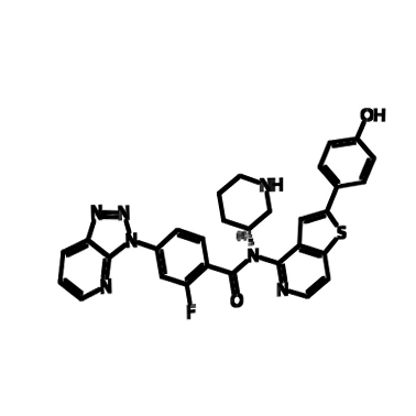 O=C(c1ccc(-n2nnc3cccnc32)cc1F)N(c1nccc2sc(-c3ccc(O)cc3)cc12)[C@@H]1CCCNC1